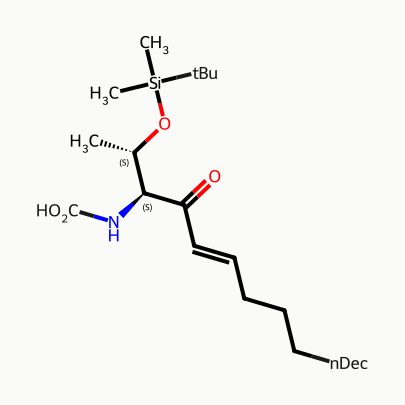 CCCCCCCCCCCCCC=CC(=O)[C@@H](NC(=O)O)[C@H](C)O[Si](C)(C)C(C)(C)C